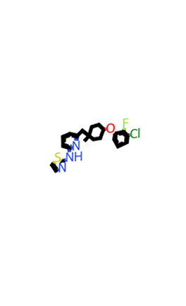 CC1(Cc2cccc(Nc3nccs3)n2)CCC(Oc2cccc(Cl)c2F)CC1